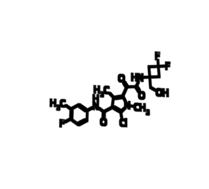 Cc1cc(NC(=O)c2c(C)c(C(=O)C(=O)NC3(CO)CC(F)(F)C3)n(C)c2Cl)ccc1F